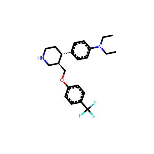 CCN(CC)c1ccc([C@H]2CCNC[C@@H]2COc2ccc(C(F)(F)F)cc2)cc1